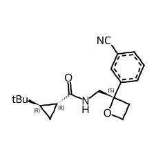 CC(C)(C)[C@@H]1C[C@H]1C(=O)NC[C@@]1(c2cccc(C#N)c2)CCO1